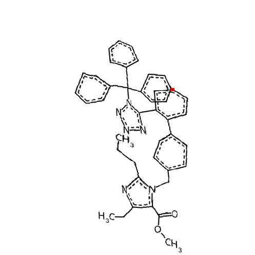 CCCc1nc(CC)c(C(=O)OC)n1Cc1ccc(-c2ccccc2-c2nnnn2C(c2ccccc2)(c2ccccc2)c2ccccc2)cc1